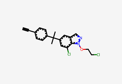 C#Cc1ccc(C(C)(C)c2cc(Cl)c3c(cnn3OCCCl)c2)cc1